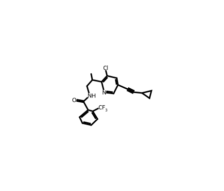 CC(CNC(=O)c1ccccc1C(F)(F)F)c1ncc(C#CC2CC2)cc1Cl